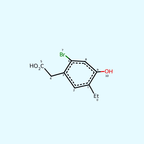 CCc1cc(CC(=O)O)c(Br)cc1O